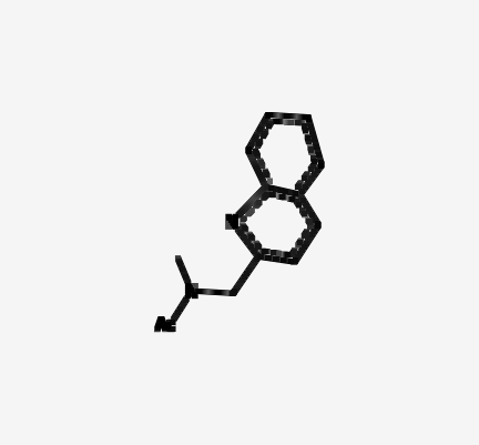 CC(=O)N(C)Cc1ccc2ccccc2n1